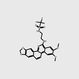 COc1cc2c(NCCNS(=O)(=O)C(F)(F)F)nc3c4cc5c(cc4ccc3c2cc1OC)OCO5